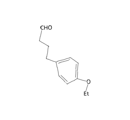 CCOc1ccc(CCCC=O)cc1